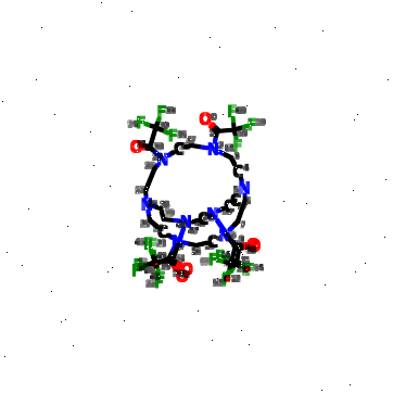 O=C(N1CCN2CCN(C(=O)C(F)(F)F)CCN(C(=O)C(F)(F)F)CCN(CCN(C(=O)C(F)(F)F)CC1)CCN(C(=O)C(F)(F)F)CCN(C(=O)C(F)(F)F)CC2)C(F)(F)F